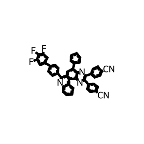 N#Cc1ccc(-c2nc3c(-c4ccccc4)cc4c(-c5ccc(-c6cc(F)c(F)c(F)c6)cc5)nc5ccccc5c4c3nc2-c2ccc(C#N)cc2)cc1